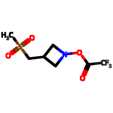 CS(=O)(=O)CC1CN(OC(=O)C(F)(F)F)C1